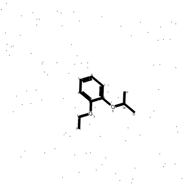 [CH2]COc1ccccc1OC(C)C